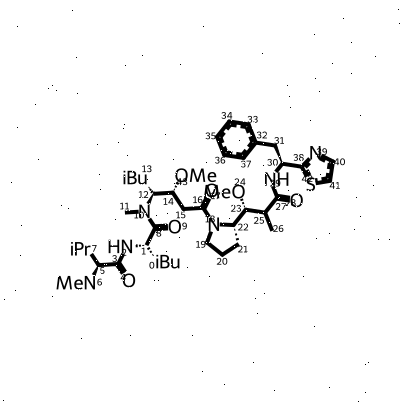 CC[C@@H](C)[C@H](NC(=O)[C@@H](NC)C(C)C)C(=O)N(C)[C@@H]([C@@H](C)CC)[C@@H](CC(=O)N1CCC[C@H]1[C@H](OC)C(C)C(=O)N[C@@H](Cc1ccccc1)c1nccs1)OC